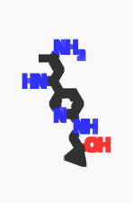 C/C(N)=C\C(=N)c1ccc(NCC2(O)CC2)nc1